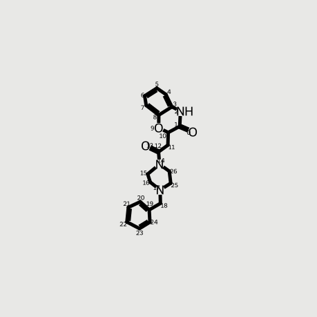 O=C1Nc2ccccc2OC1CC(=O)N1CCN(Cc2ccccc2)CC1